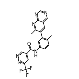 Cc1ccc(NC(=O)c2cnnc(C(F)(F)F)c2)cc1-c1cc2cncnc2nc1C